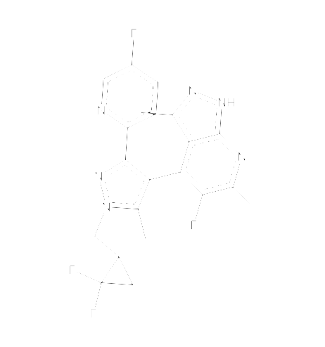 Cc1nc2[nH]nc(C)c2c(-c2c(-c3ccc(F)cn3)nn3c2C[C@]2(C3)CC2(F)F)c1F